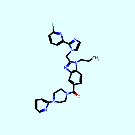 CCCn1c(Cn2ccnc2-c2cccc(F)n2)nc2cc(C(=O)N3CCN(c4ccccn4)CC3)ccc21